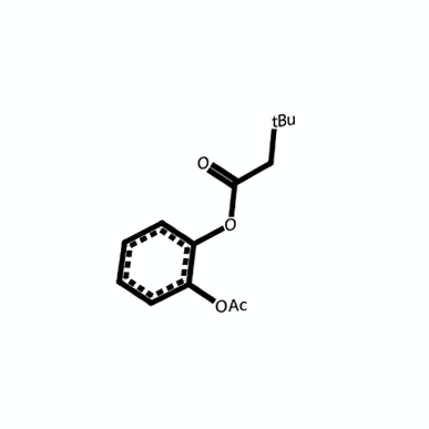 CC(=O)Oc1ccccc1OC(=O)CC(C)(C)C